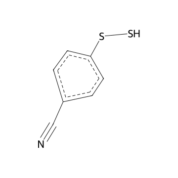 N#Cc1ccc(SS)cc1